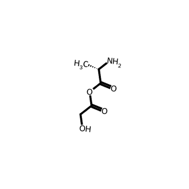 C[C@H](N)C(=O)OC(=O)CO